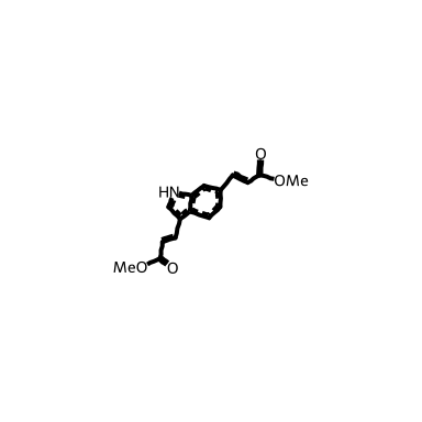 COC(=O)C=Cc1ccc2c(C=CC(=O)OC)c[nH]c2c1